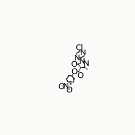 CC1=NN(c2cnc(Cl)cn2)C(=O)C1C(=O)Oc1ccc([N+](=O)[O-])cc1